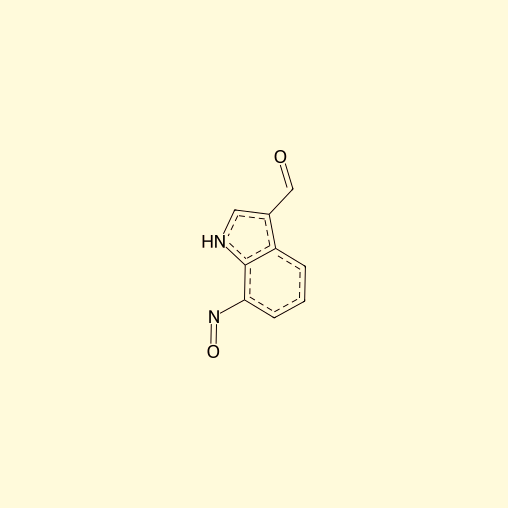 O=Cc1c[nH]c2c(N=O)cccc12